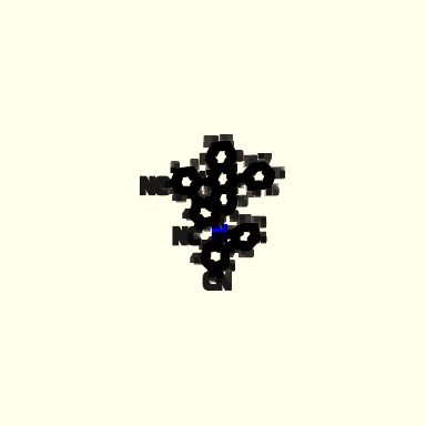 N#Cc1ccc(-c2c3ccccc3c(-c3ccccc3)c3ccccc23)c(-c2ccc(-n3c4ccccc4c4cc(C#N)ccc43)c(C#N)c2)c1